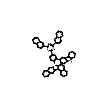 c1ccc2cc(-c3nc(-c4ccc(-n5c6cc7ccccc7cc6c6c7ccccc7ccc65)c(-c5ccc6oc7ccccc7c6c5)c4)nc(-c4ccc5ccccc5c4)n3)ccc2c1